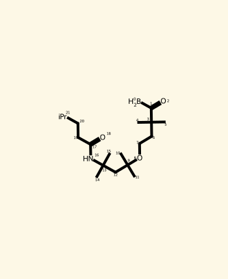 BC(=O)C(C)(C)CCOC(C)(C)CC(C)(C)NC(=O)CCC(C)C